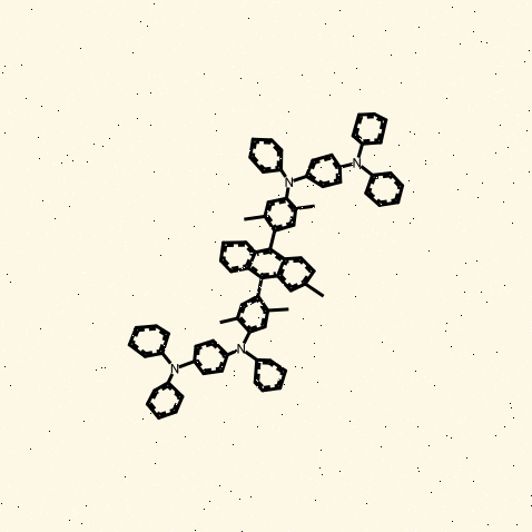 Cc1ccc2c(-c3cc(C)c(N(c4ccccc4)c4ccc(N(c5ccccc5)c5ccccc5)cc4)cc3C)c3ccccc3c(-c3cc(C)c(N(c4ccccc4)c4ccc(N(c5ccccc5)c5ccccc5)cc4)cc3C)c2c1